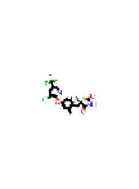 B[C@]1(Cc2ccc(Oc3ncc(C(F)(F)F)cc3Cl)cc2C)SC(=O)NC1=O